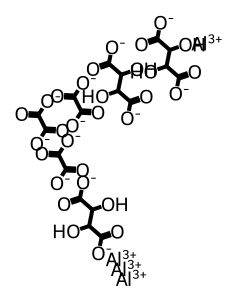 O=C([O-])C(=O)[O-].O=C([O-])C(=O)[O-].O=C([O-])C(=O)[O-].O=C([O-])C(O)C(O)C(=O)[O-].O=C([O-])C(O)C(O)C(=O)[O-].O=C([O-])C(O)C(O)C(=O)[O-].[Al+3].[Al+3].[Al+3].[Al+3]